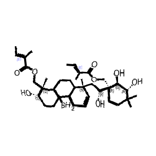 BC12CC[C@H](O)[C@](C)(COC(=O)/C(C)=C/C)C1CCC1C2CC=C[C@@]1(C)C[C@@H](O)[C@]1(COC(=O)/C(C)=C/C)CCC(C)(C)[C@@H](O)[C@@H]1O